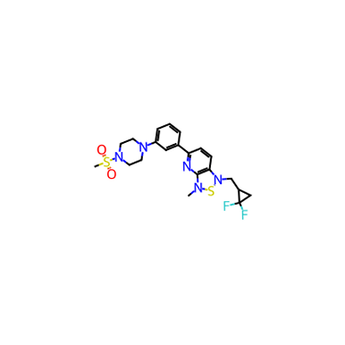 CN1SN(CC2CC2(F)F)c2ccc(-c3cccc(N4CCN(S(C)(=O)=O)CC4)c3)nc21